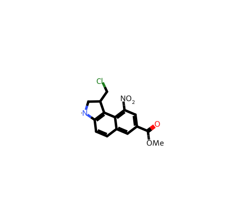 COC(=O)c1cc([N+](=O)[O-])c2c3c(ccc2c1)[N]CC3CCl